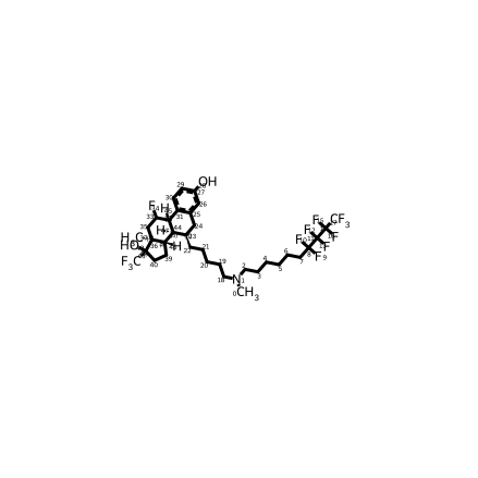 CN(CCCCCCC(F)(F)C(F)(F)C(F)(F)C(F)(F)F)CCCCC[C@@H]1Cc2cc(O)ccc2[C@H]2C(F)C[C@@]3(C)[C@@H](CC[C@@]3(O)C(F)(F)F)[C@H]12